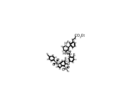 CCOC(=O)CCc1cccc(C2NCCc3[nH]c(-c4cc(Oc5c(F)cc6c(ccn6S(=O)(=O)c6ccc(C)cc6)c5S(C)(=O)=O)ccc4F)nc32)c1F